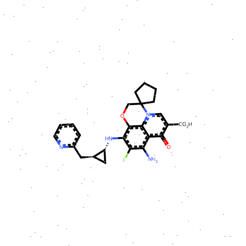 Nc1c(F)c(N[C@@H]2C[C@H]2Cc2ccccn2)c2c3c1c(=O)c(C(=O)O)cn3C1(CCCC1)CO2